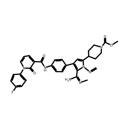 C=Nn1c(C2CCN(C(=O)OC)CC2)cc(-c2ccc(NC(=O)c3cccn(-c4ccc(F)cc4)c3=O)cc2)c1/C(N)=N\C